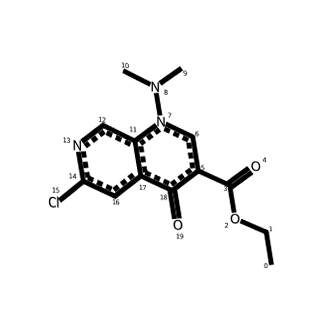 CCOC(=O)c1cn(N(C)C)c2cnc(Cl)cc2c1=O